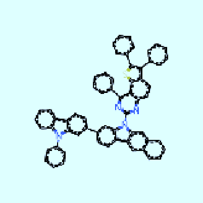 c1ccc(-c2sc3c(ccc4nc(-n5c6cc(-c7ccc8c9ccccc9n(-c9ccccc9)c8c7)ccc6c6cc7ccccc7cc65)nc(-c5ccccc5)c43)c2-c2ccccc2)cc1